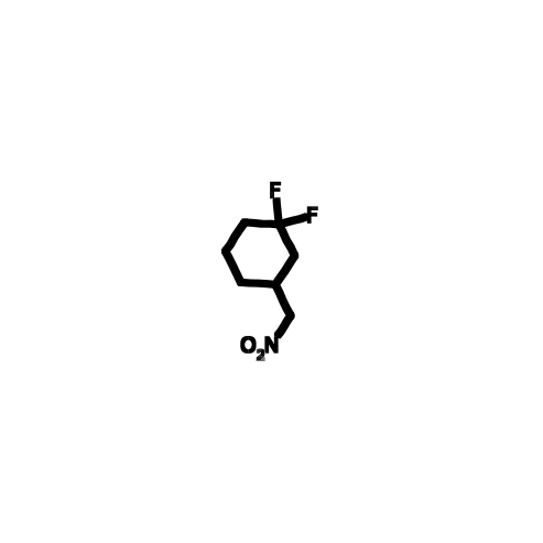 O=[N+]([O-])CC1CCCC(F)(F)C1